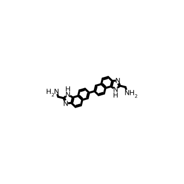 NCc1nc2ccc3cc(-c4ccc5c(ccc6nc(CN)[nH]c65)c4)ccc3c2[nH]1